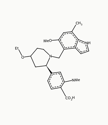 CCOC1CCN(Cc2c(OC)cc(C)c3[nH]ccc23)[C@@H](c2ccc(C(=O)O)c(NC)c2)C1